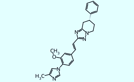 COc1cc(/C=C/c2nc3n(n2)CC[C@@H](c2ccccc2)C3)ccc1-n1cnc(C)c1